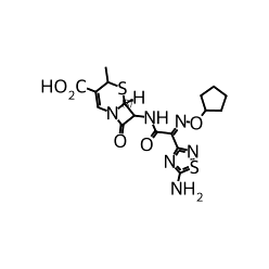 CC1S[C@@H]2C(NC(=O)C(=NOC3CCCC3)c3nsc(N)n3)C(=O)N2C=C1C(=O)O